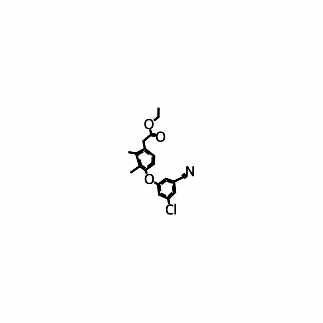 CCOC(=O)Cc1ccc(Oc2cc(Cl)cc(C#N)c2)c(C)c1C